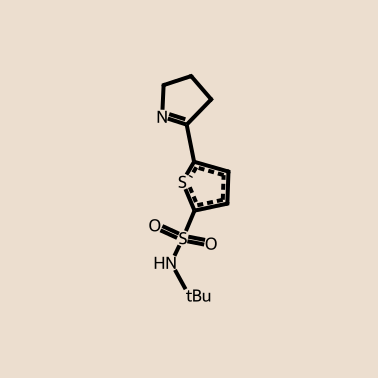 CC(C)(C)NS(=O)(=O)c1ccc(C2=NCCC2)s1